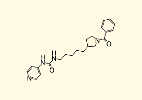 O=C(NCCCCCC1CCN(C(=O)c2ccccc2)C1)Nc1ccncc1